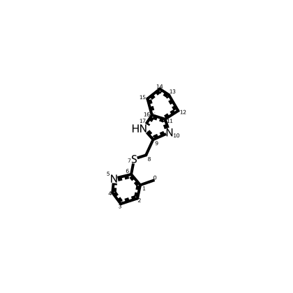 Cc1cccnc1SCc1nc2ccccc2[nH]1